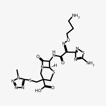 Cn1nnnc1SCC1(C(=O)O)CS[C@@H]2C(NC(=O)C(=NOCCCN)c3nsc(N)n3)C(=O)N2C1